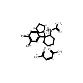 CC(=O)NC1CCCCC1(c1ccc(Cl)c(Cl)c1)[N+]1(C)CCCC1.O=C(O)/C=C\C(=O)O